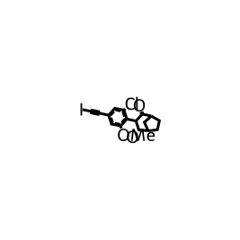 COc1cc(C#CI)cc(Cl)c1C1C(=O)C2CCC(C2)C1=O